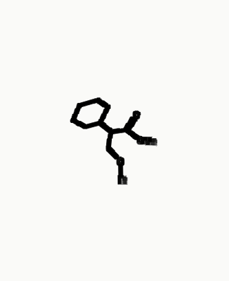 CCOCC(C(=O)OC)C1CCCCC1